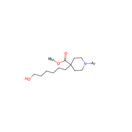 CC(=O)N1CCC(CCCCCCO)(C(=O)OC(C)(C)C)CC1